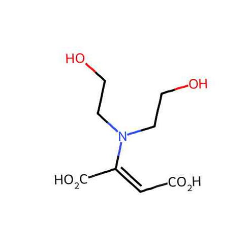 O=C(O)/C=C(/C(=O)O)N(CCO)CCO